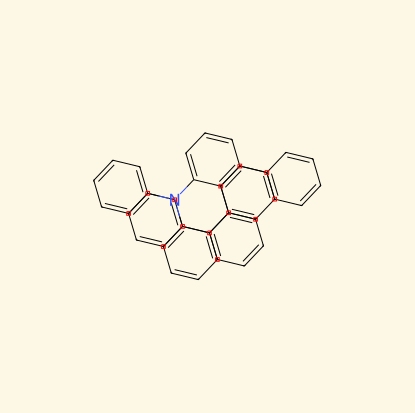 c1ccc(-c2ccccc2-c2c(-c3ccccc3)cccc2N(c2ccccc2)c2ccccc2-c2ccccc2)cc1